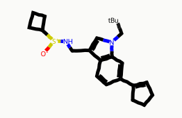 CC(C)(C)Cn1cc(CN[S+]([O-])C2CCC2)c2ccc(C3=CCCC3)cc21